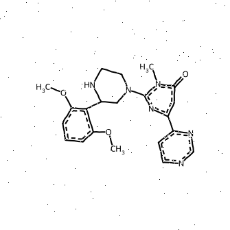 COc1cccc(OC)c1C1CN(c2nc(-c3ccncn3)cc(=O)n2C)CCN1